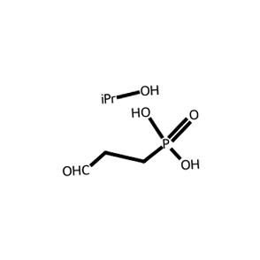 CC(C)O.O=CCCP(=O)(O)O